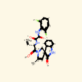 CC(C)(C)C[C@H](NC(=O)C(=O)Nc1c(F)cccc1F)C(=O)N1C[C@]2(C[C@H]1C#N)C(=O)Nc1ccccc12